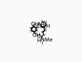 CNC(C)C/C=C/c1cncnc1.O=C(O)c1cc(O)ccc1O